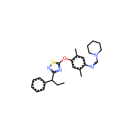 CCC(c1ccccc1)c1nsc(Oc2cc(C)c(/N=C\N3CCCCC3)cc2C)n1